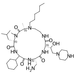 CCCCCCN1CCNC(=O)[C@H](C(O)CN2CCNCC2)NC(=O)[C@H](CN)NC(=O)C(C2CCCCC2)NC(=O)[C@H](CC(C)C)N(C)C(=O)[C@@H]1C